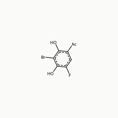 CC(=O)c1cc(F)c(O)c(Br)c1O